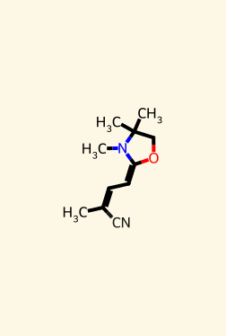 C/C(C#N)=C/C=C1/OCC(C)(C)N1C